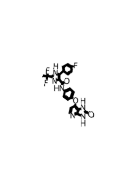 CC(F)(F)c1nc(C(=O)Nc2ccc(Oc3ccnc4[nH]c(=O)[nH]c34)cc2)c(-c2ccc(F)cc2)[nH]1